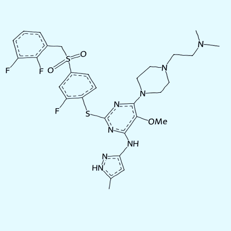 COc1c(Nc2cc(C)[nH]n2)nc(Sc2ccc(S(=O)(=O)Cc3cccc(F)c3F)cc2F)nc1N1CCN(CCN(C)C)CC1